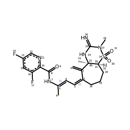 C=C1/C(=C\C=C(/C)NC(=O)c2ncc(F)cc2F)CCC[C@H]2[C@]1(C)NC(=N)N(C)S2(=O)=O